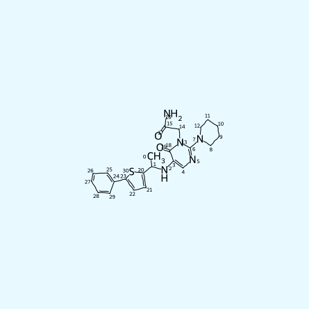 CC(Nc1cnc(N2CCCCC2)n(CC(N)=O)c1=O)c1ccc(-c2ccccc2)s1